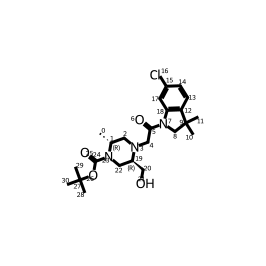 C[C@@H]1CN(CC(=O)N2CC(C)(C)c3ccc(Cl)cc32)[C@@H](CO)CN1C(=O)OC(C)(C)C